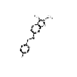 Cc1c2ccc(NCc3ccc(Cl)cc3)cc2nn1C